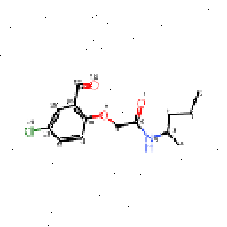 CCCC(C)NC(=O)COc1ccc(Cl)cc1C=O